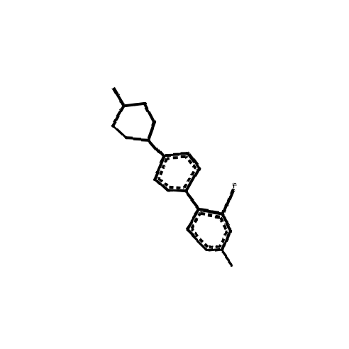 Cc1ccc(-c2ccc(C3CCC(C)CC3)cc2)c(F)c1